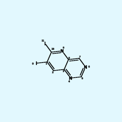 Ic1cc2ncncc2nc1I